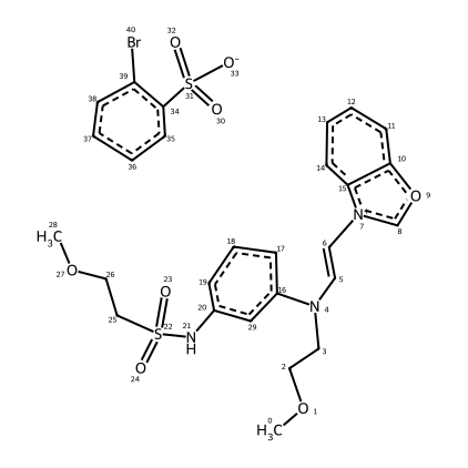 COCCN(C=C[n+]1coc2ccccc21)c1cccc(NS(=O)(=O)CCOC)c1.O=S(=O)([O-])c1ccccc1Br